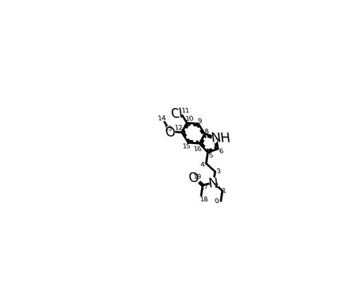 CCN(CCc1c[nH]c2cc(Cl)c(OC)cc12)C(C)=O